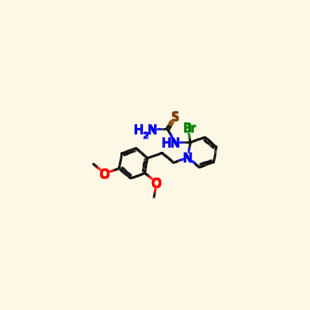 COc1ccc(CCN2C=CC=CC2(Br)NC(N)=S)c(OC)c1